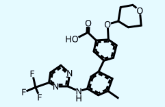 Cc1cc(Nc2nccc(C(F)(F)F)n2)cc(-c2ccc(OC3CCOCC3)c(C(=O)O)c2)c1